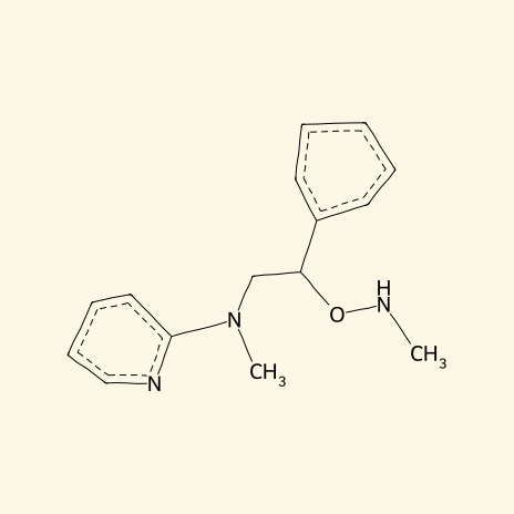 CNOC(CN(C)c1ccccn1)c1ccccc1